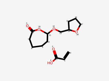 C=CC(=O)O.O=C1CCCCC(OCC2CCCO2)O1